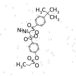 CCS(=O)(=O)Oc1ccc(S(=O)(=O)C(=[N+]=[N-])S(=O)(=O)c2ccc(C(C)(C)C)cc2)cc1